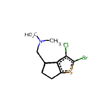 CN(CC1CCc2sc(Br)c(Cl)c21)C(=O)O